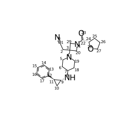 N#CCC1(N2CCC(N[C@@H]3C[C@H]3c3ccccc3)CC2)CN(C(=O)[C@@H]2CCCO2)C1